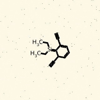 [C]#CC1=CC=CC(C#[C])C1=[Si](CC)CC